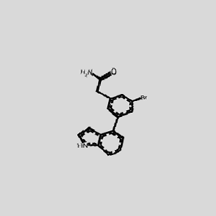 NC(=O)Cc1cc(Br)cc(-c2cccc3[nH]ccc23)c1